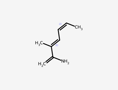 C=C(N)/C(C)=C/C=C\C